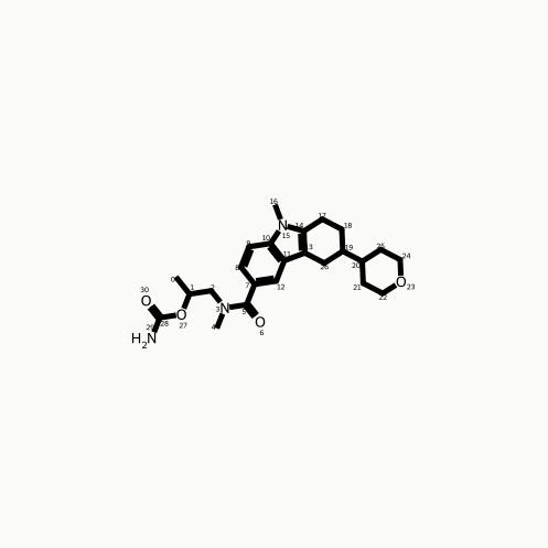 CC(CN(C)C(=O)c1ccc2c(c1)c1c(n2C)CCC(C2CCOCC2)C1)OC(N)=O